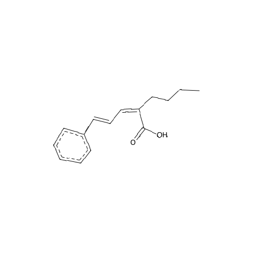 CCCCC(=CC=Cc1ccccc1)C(=O)O